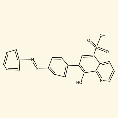 O=S(=O)(O)c1cc(-c2ccc(/N=N/c3ccccc3)cc2)c(O)c2ncccc12